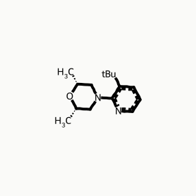 C[C@@H]1CN(c2ncccc2C(C)(C)C)C[C@H](C)O1